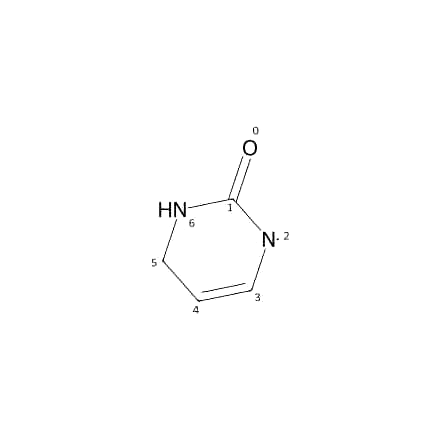 O=C1[N]C=CCN1